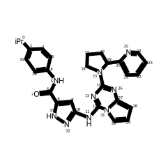 CC(C)c1ccc(NC(=O)c2cc(Nc3nc(N4CCCC4c4ccccn4)nc4cccn34)n[nH]2)cc1